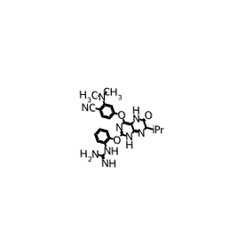 CC(C)C1N=C2NC(Oc3ccccc3NC(=N)N)=NC(Oc3ccc(C#N)c(N(C)C)c3)=C2NC1=O